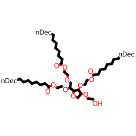 CCCCCCCCCCCCCCCCCC(=O)OCCOCC(OCCOC(=O)CCCCCCCCCCCCCCCCC)C1OCC(OCCO)C1OCCOC(=O)CCCCCCCCCCCCCCCCC